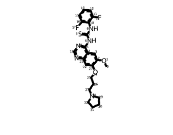 COc1cc2c(NC(=S)Nc3c(F)cccc3F)ncnc2cc1OCCCN1CCCC1